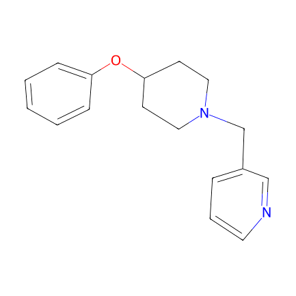 c1ccc(OC2CCN(Cc3cccnc3)CC2)cc1